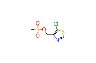 CS(=O)(=O)OCc1ncsc1Cl